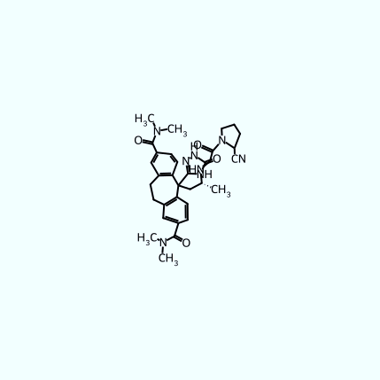 C[C@H](CC1(c2n[nH]c(=O)[nH]2)c2ccc(C(=O)N(C)C)cc2CCc2cc(C(=O)N(C)C)ccc21)NCC(=O)N1CCCC1C#N